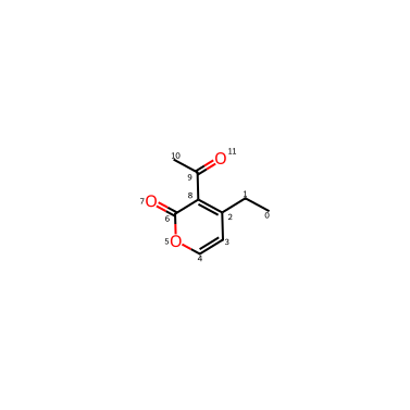 CCc1ccoc(=O)c1C(C)=O